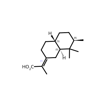 C/C(C(=O)O)=C1/CC[C@@H]2CC[C@@H](C)C(C)(C)[C@H]2C1